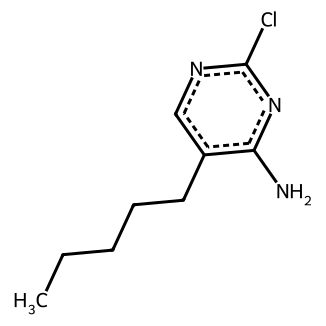 CCCCCc1cnc(Cl)nc1N